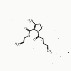 C=CCCC(=O)N1CCC(N)=C1C(=O)OCC=C